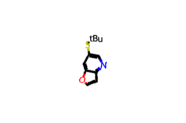 CC(C)(C)Sc1cnc2ccoc2c1